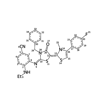 CCNc1ccc(C#N)cc1/N=C1/S/C(=C2\SC=C(c3ccc(F)cc3)N2C)C(=O)N1Cc1ccccc1